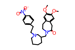 COc1cc2c(cc1OC)CC(=O)N(CC1CCCCN(CCc3ccc([N+](=O)[O-])cc3)C1)CC2